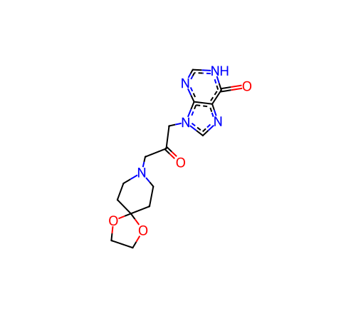 O=C(CN1CCC2(CC1)OCCO2)Cn1cnc2c(=O)[nH]cnc21